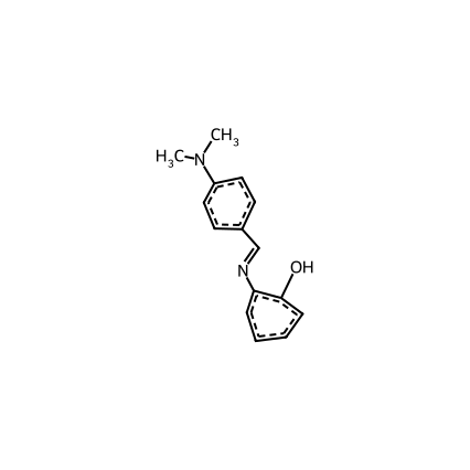 CN(C)c1ccc(C=Nc2ccccc2O)cc1